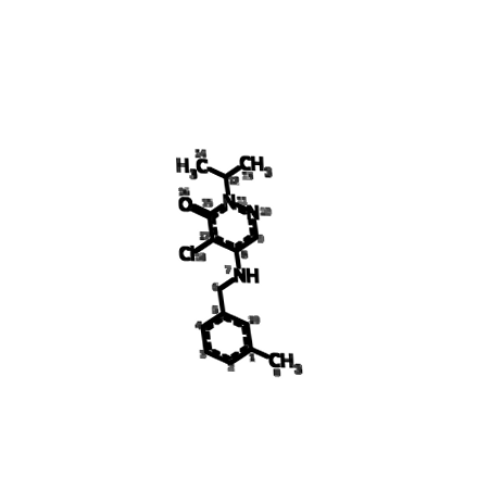 Cc1cccc(CNc2cnn(C(C)C)c(=O)c2Cl)c1